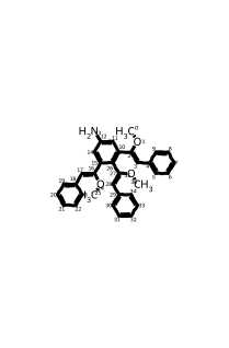 COC(=Cc1ccccc1)c1cc(N)cc(C(=Cc2ccccc2)OC)c1C(=Cc1ccccc1)OC